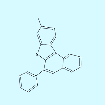 Cc1ccc2c(c1)sc1c(-c3ccccc3)cc3ccccc3c12